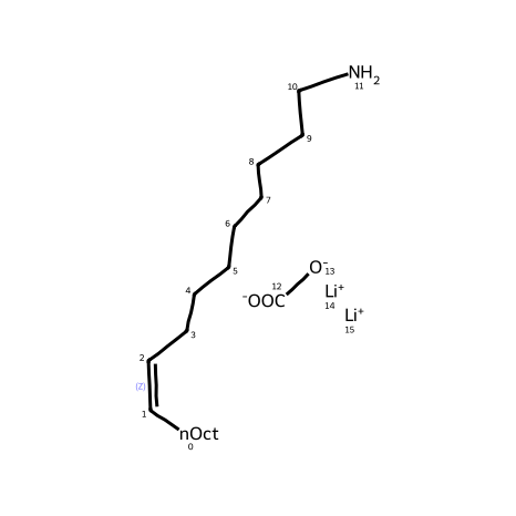 CCCCCCCC/C=C\CCCCCCCCN.O=C([O-])[O-].[Li+].[Li+]